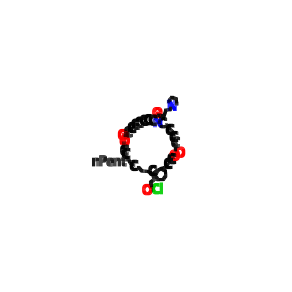 CCCCCC1CCCCC2CC3(CCCC(=O)Cl)C(CCCCC23)CCCOC(=O)CCCCCCCN(C(=O)CCCN2CCCC2)CCCCCCCC(=O)OCCC1